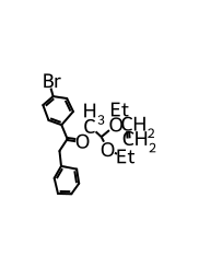 C=C.CCOC(C)OCC.O=C(Cc1ccccc1)c1ccc(Br)cc1